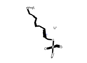 CCCCCCCCCC/C=C/OS(=O)(=O)[O-].[Li+]